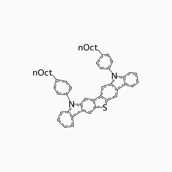 CCCCCCCCc1ccc(-n2c3ccccc3c3cc4sc5cc6c7ccccc7n(-c7ccc(CCCCCCCC)cc7)c6cc5c4cc32)cc1